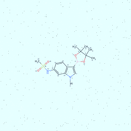 CC(C)n1cc(B2OC(C)(C)C(C)(C)O2)c2ccc(NS(C)(=O)=O)cc21